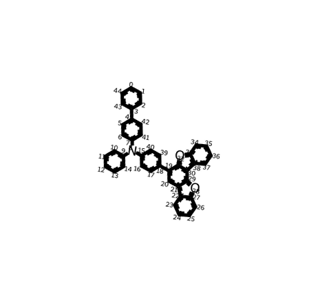 c1ccc(-c2ccc(N(c3ccccc3)c3ccc(-c4cc5c6ccccc6oc5c5c4oc4ccccc45)cc3)cc2)cc1